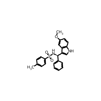 COc1ccc2[nH]cc([C@H](NS(=O)(=O)c3ccc(C)cc3)c3ccccc3)c2c1